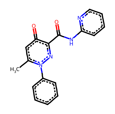 Cc1cc(=O)c(C(=O)Nc2ccccn2)nn1-c1ccccc1